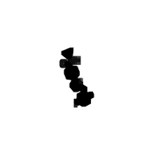 Cc1ccc(I)cc1Cc1ccc(-c2ccc(C(=O)NC3CC3)cc2)s1